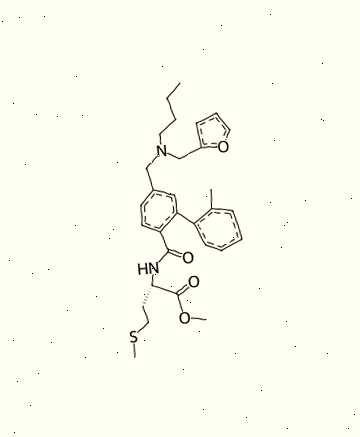 CCCCN(Cc1ccc(C(=O)N[C@@H](CCSC)C(=O)OC)c(-c2ccccc2C)c1)Cc1ccco1